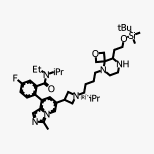 CCN(C(=O)c1cc(F)ccc1-c1cc(C2CN([C@H](CCCN3CCNC(CCO[Si](C)(C)C(C)(C)C)C34COC4)C(C)C)C2)cn2c(C)ncc12)C(C)C